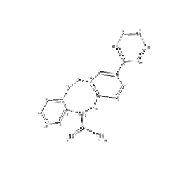 CC(=O)N1Cc2ccc(-c3ccncc3)cc2CCc2ccccc21